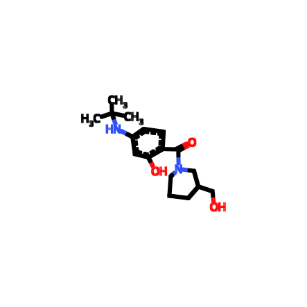 CC(C)(C)Nc1ccc(C(=O)N2CCCC(CO)C2)c(O)c1